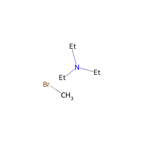 CBr.CCN(CC)CC